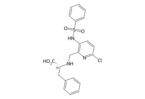 O=C(O)[C@@H](Cc1ccccc1)NCc1nc(Cl)ccc1NS(=O)(=O)c1ccccc1